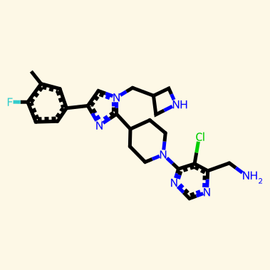 Cc1cc(-c2cn(CC3CNC3)c(C3CCN(c4ncnc(CN)c4Cl)CC3)n2)ccc1F